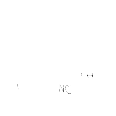 CC#N.Ic1ccc(I)cc1